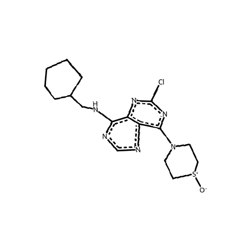 [O-][S+]1CCN(c2nc(Cl)nc3c(NCC4CCCCC4)ncnc23)CC1